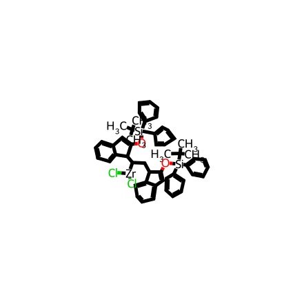 CC(C)(C)[Si](OC1=Cc2ccccc2C1C[CH](C1C(O[Si](c2ccccc2)(c2ccccc2)C(C)(C)C)=Cc2ccccc21)[Zr]([Cl])[Cl])(c1ccccc1)c1ccccc1